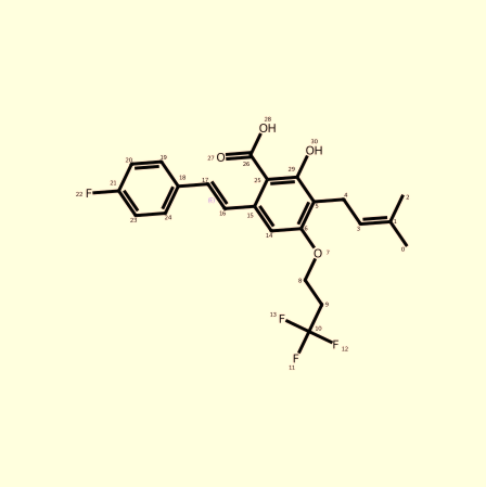 CC(C)=CCc1c(OCCC(F)(F)F)cc(/C=C/c2ccc(F)cc2)c(C(=O)O)c1O